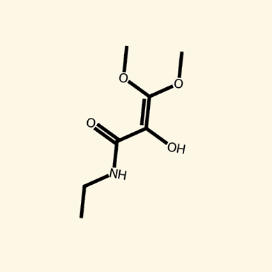 CCNC(=O)C(O)=C(OC)OC